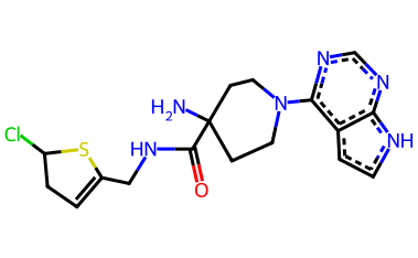 NC1(C(=O)NCC2=CCC(Cl)S2)CCN(c2ncnc3[nH]ccc23)CC1